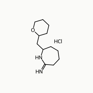 Cl.N=C1CCCCC(CC2CCCCO2)N1